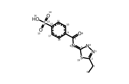 CCC1=N[N]C(=NC(=O)c2ccc(S(=O)(=O)O)cc2)S1